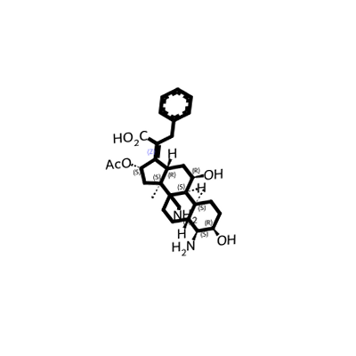 CC(=O)O[C@H]1C[C@@]2(C)[C@@H](C[C@@H](O)[C@@H]3C2(CN)CC[C@H]2[C@H](N)[C@H](O)CC[C@]32C)/C1=C(\Cc1ccccc1)C(=O)O